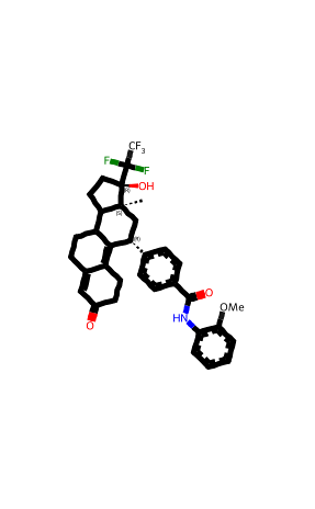 COc1ccccc1NC(=O)c1ccc([C@H]2C[C@@]3(C)C(CC[C@]3(O)C(F)(F)C(F)(F)F)C3CCC4=CC(=O)CCC4=C32)cc1